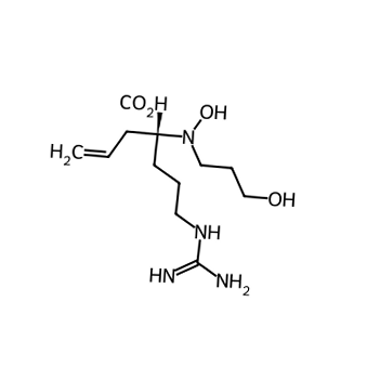 C=CC[C@](CCCNC(=N)N)(C(=O)O)N(O)CCCO